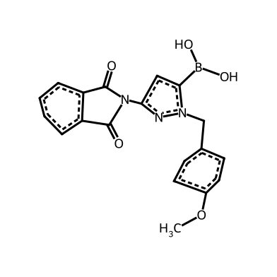 COc1ccc(Cn2nc(N3C(=O)c4ccccc4C3=O)cc2B(O)O)cc1